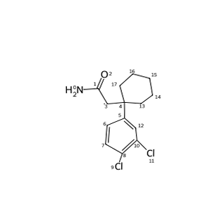 NC(=O)[CH]C1(c2ccc(Cl)c(Cl)c2)CCCCC1